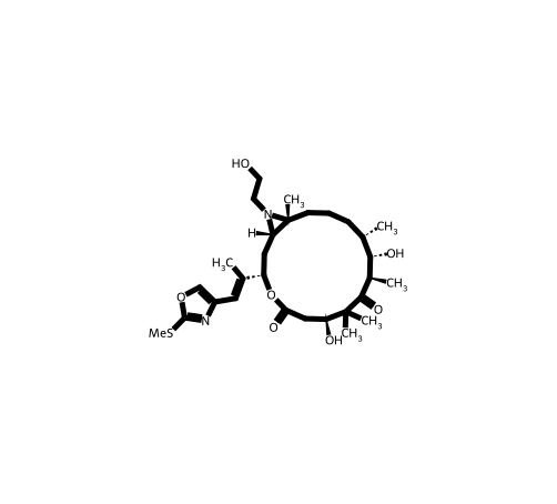 CSc1nc(/C=C(\C)[C@@H]2C[C@@H]3N(CCO)[C@]3(C)CCC[C@H](C)[C@H](O)[C@@H](C)C(=O)C(C)(C)[C@@H](O)CC(=O)O2)co1